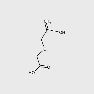 C=C(O)COCC(=O)O